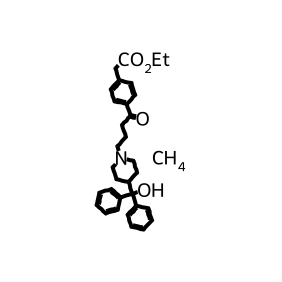 C.CCOC(=O)Cc1ccc(C(=O)CCCN2CCC(C(O)(c3ccccc3)c3ccccc3)CC2)cc1